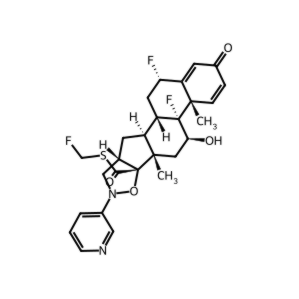 C[C@]12C=CC(=O)C=C1[C@@H](F)C[C@H]1[C@@H]3C[C@H]4CN(c5cccnc5)O[C@@]4(C(=O)SCF)[C@@]3(C)C[C@H](O)[C@@]12F